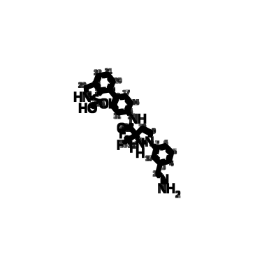 NN=Cc1cccc(N2C=CC(C(=O)Nc3ccc(-c4cccc5c4S(O)(O)NC5)cc3)(C(F)(F)F)N2)c1